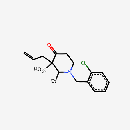 C=CCC1(C(=O)O)C(=O)CCN(Cc2ccccc2Cl)C1CC